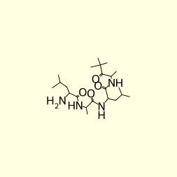 CC(C)CC(N)C(=O)NC(C)C(=O)NC(CC(C)C)C(=O)NC(C)C(=O)C(C)(C)C